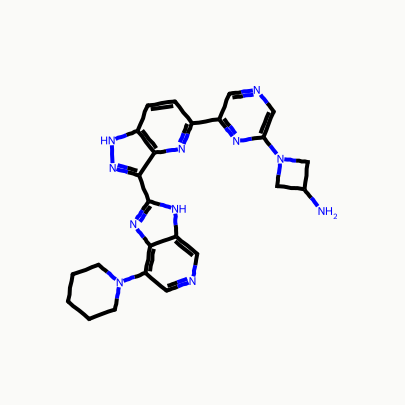 NC1CN(c2cncc(-c3ccc4[nH]nc(-c5nc6c(N7CCCCC7)cncc6[nH]5)c4n3)n2)C1